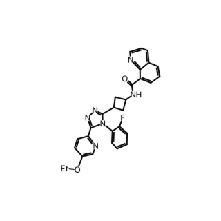 CCOc1ccc(-c2nnc(C3CC(NC(=O)c4cccc5cccnc45)C3)n2-c2ccccc2F)nc1